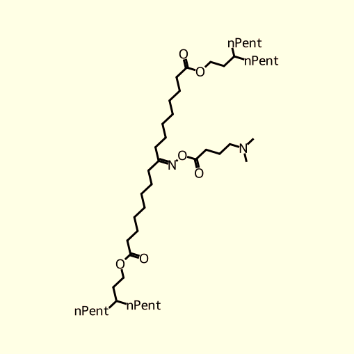 CCCCCC(CCCCC)CCOC(=O)CCCCCCCC(CCCCCCCC(=O)OCCC(CCCCC)CCCCC)=NOC(=O)CCCN(C)C